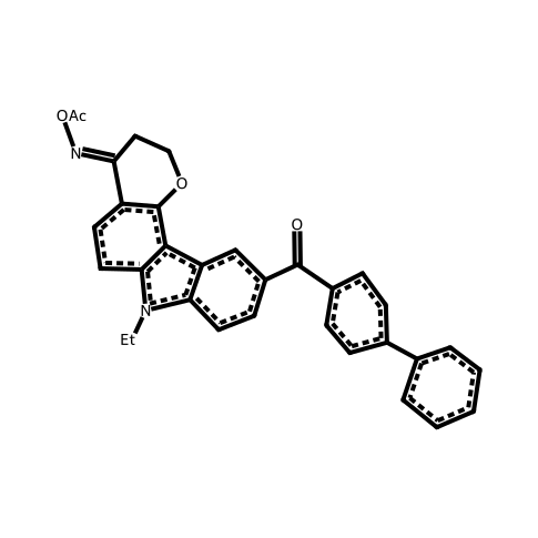 CCn1c2ccc(C(=O)c3ccc(-c4ccccc4)cc3)cc2c2c3c(ccc21)/C(=N/OC(C)=O)CCO3